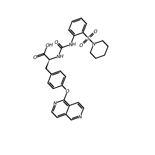 O=C(Nc1ccccc1S(=O)(=O)N1CCCCC1)N[C@@H](Cc1ccc(Oc2nccc3cnccc23)cc1)C(=O)O